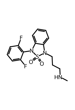 CNCCCN1c2ccccc2N(c2c(F)cccc2F)S1(=O)=O